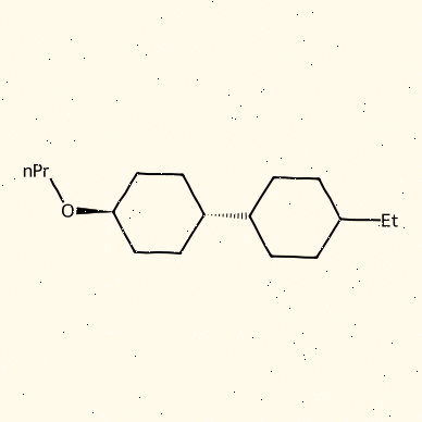 CCCO[C@H]1CC[C@H](C2CCC(CC)CC2)CC1